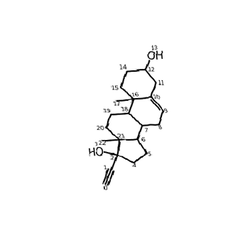 C#CC1(O)CCC2C3CC=C4CC(O)CCC4(C)C3CCC21C